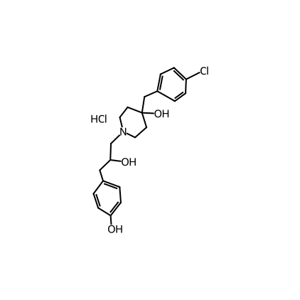 Cl.Oc1ccc(CC(O)CN2CCC(O)(Cc3ccc(Cl)cc3)CC2)cc1